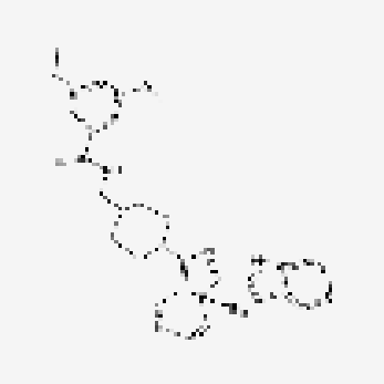 COc1cc(OC)cc(C(=O)NCC2CCC(C3=C4C=NC=C[N+]4(N)C(c4cc5ccccc5[nH]4)=N3)CC2)c1